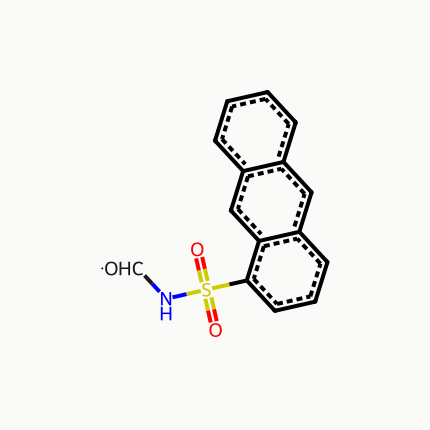 O=[C]NS(=O)(=O)c1cccc2cc3ccccc3cc12